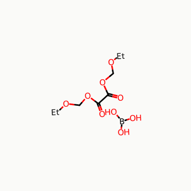 CCOCOC(=O)C(=O)OCOCC.OB(O)O